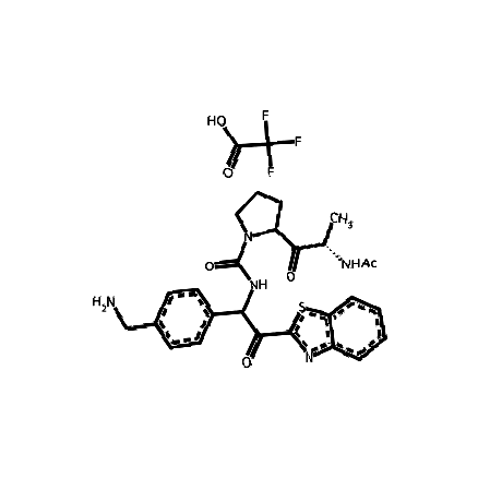 CC(=O)N[C@@H](C)C(=O)C1CCCN1C(=O)NC(C(=O)c1nc2ccccc2s1)c1ccc(CN)cc1.O=C(O)C(F)(F)F